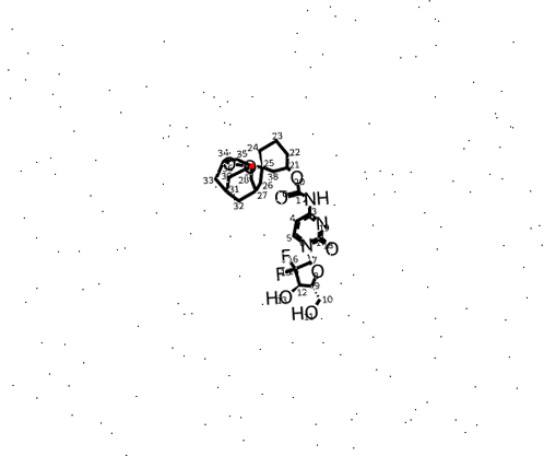 O=C(Nc1ccn([C@@H]2O[C@H](CO)[C@@H](O)C2(F)F)c(=O)n1)OC1CCC[C@]2(CC3CC4CC(C3)CC(C4)OO2)C1